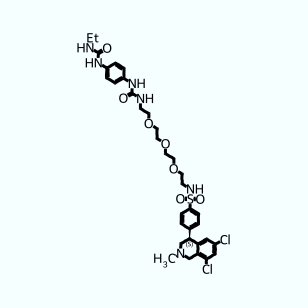 CCNC(=O)Nc1ccc(NC(=O)NCCOCCOCCOCCNS(=O)(=O)c2ccc([C@@H]3CN(C)Cc4c(Cl)cc(Cl)cc43)cc2)cc1